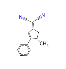 CC1CC(=C(C#N)C#N)C=C1c1ccccc1